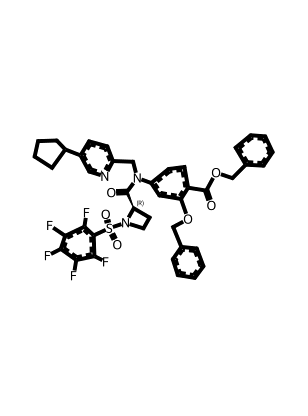 O=C(OCc1ccccc1)c1ccc(N(Cc2ccc(C3CCCC3)cn2)C(=O)[C@H]2CCN2S(=O)(=O)c2c(F)c(F)c(F)c(F)c2F)cc1OCc1ccccc1